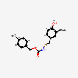 COc1cc(CSNC(=O)OCc2ccc(C(C)(C)C)cc2)ccc1O